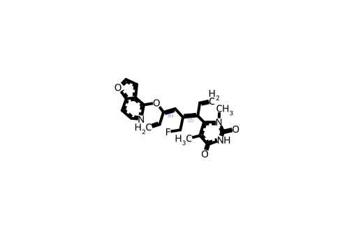 C=C/C(=C(\C=C(/C=C)Oc1nccc2occc12)CF)c1c(C)c(=O)[nH]c(=O)n1C